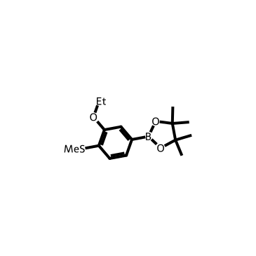 CCOc1cc(B2OC(C)(C)C(C)(C)O2)ccc1SC